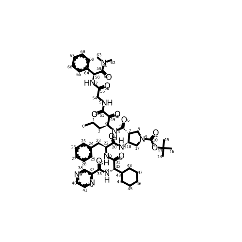 CCC[C@H](NC(=O)[C@@H]1CN(C(=O)OC(C)(C)C)C[C@@H]1NC(=O)[C@H](Cc1ccccc1)NC(=O)[C@@H](NC(=O)c1cnccn1)C1CCCCC1)C(=O)C(=O)NCC(=O)N[C@H](C(=O)N(C)C)c1ccccc1